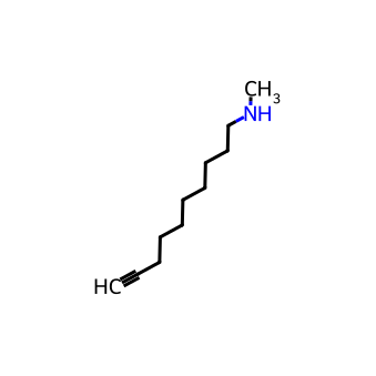 C#CCCCCCCCCNC